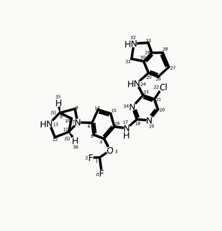 FC(F)Oc1cc(N2C[C@@H]3C[C@H]2CN3)ccc1Nc1ncc(Cl)c(Nc2cccc3c2CNC3)n1